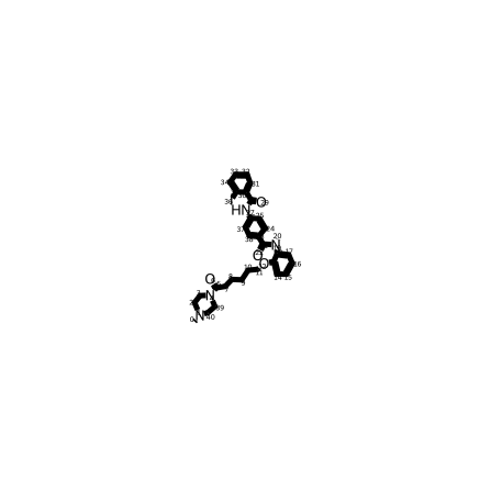 CN1CCN(C(=O)CCCCCOc2ccccc2N(C)C(=O)c2ccc(NC(=O)c3ccccc3I)cc2)CC1